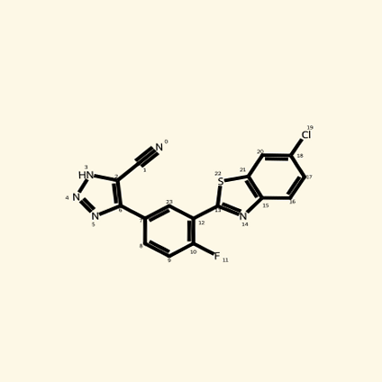 N#Cc1[nH]nnc1-c1ccc(F)c(-c2nc3ccc(Cl)cc3s2)c1